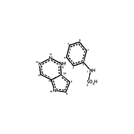 O=S(=O)(O)Nc1ccccc1.c1cc2[nH]nncc-2n1